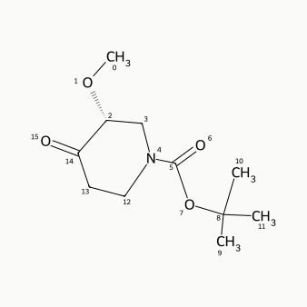 CO[C@@H]1CN(C(=O)OC(C)(C)C)CCC1=O